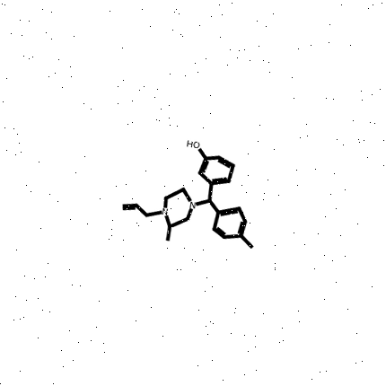 C=CCN1CCN(C(c2ccc(C)cc2)c2cccc(O)c2)CC1C